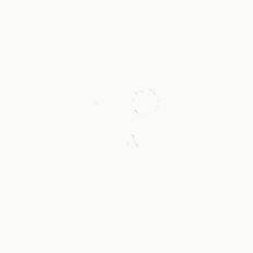 CCCCCCCCc1ccccc1/C=C/C(=O)OCC